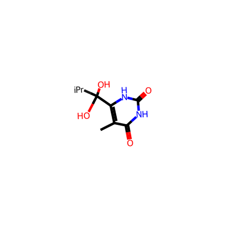 Cc1c(C(O)(O)C(C)C)[nH]c(=O)[nH]c1=O